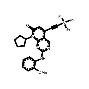 COc1ccccc1Nc1ncc2c(C#C[Si](C(C)C)(C(C)C)C(C)C)cc(=O)n(C3CCCC3)c2n1